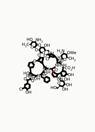 CO[C@H]1[C@H](C)O[C@@H](O[C@@H]2c3ccc(c(Cl)c3)Oc3cc4cc(c3O[C@@H]3O[C@H](CO)[C@@H](O)[C@H](O)[C@H]3O[C@H]3C[C@H](N)[C@@H](O)[C@H](C)O3)Oc3ccc(cc3)[C@@H](O)[C@@H](NC(=O)C(=O)c3ccc(O)c(Cl)c3)C(=O)N[C@@H](Cc3ccccc3)C(=O)N[C@H]4C(=O)N[C@H]3C(=O)N[C@@H]2C(=O)N[C@H](C(=O)O)c2cc(O)cc(O[C@H]4O[C@H](CO)[C@@H](O)[C@H](O)[C@@H]4O)c2-c2cc3ccc2O)C[C@@H]1N